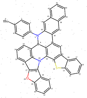 CC(C)(C)c1ccc(N2B3c4c(cc5c(sc6ccccc65)c4-n4c5c3cccc5c3oc5ccccc5c34)-c3cc4ccccc4cc32)cc1